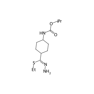 CCS/C(=N\N)C1CCC(NC(=O)OC(C)C)CC1